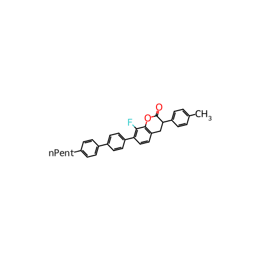 CCCCCc1ccc(-c2ccc(-c3ccc4c(c3F)OC(=O)C(c3ccc(C)cc3)C4)cc2)cc1